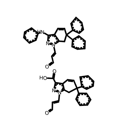 O=CC=Cn1nc(C(=O)O)c2c1CC(c1ccccc1)(c1ccccc1)C=C2.O=CC=Cn1nc(Nc2ccccc2)c2c1CC(c1ccccc1)(c1ccccc1)C=C2